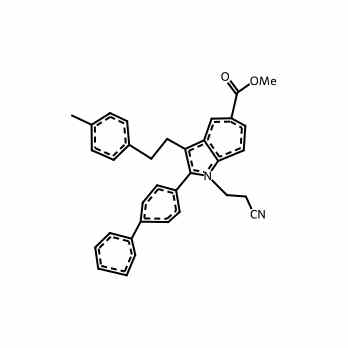 COC(=O)c1ccc2c(c1)c(CCc1ccc(C)cc1)c(-c1ccc(-c3ccccc3)cc1)n2CCC#N